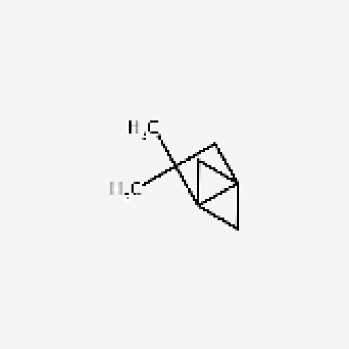 CC1(C)CC23CC12C3